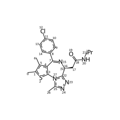 Cc1sc2c(c1C)C(c1ccc(Cl)cc1)=N[C@@H](CC(=O)NC(C)C)c1nnc(C)n1-2